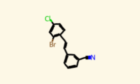 N#Cc1cccc(C=Cc2ccc(Cl)cc2Br)c1